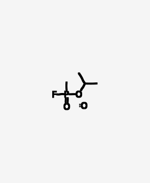 CC(C)OP(C)(=O)F.[O]